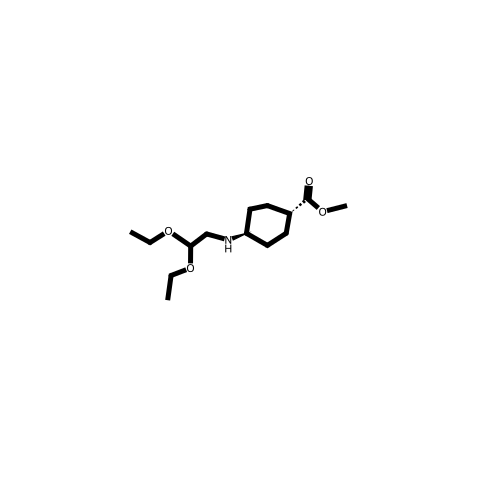 CCOC(CN[C@H]1CC[C@H](C(=O)OC)CC1)OCC